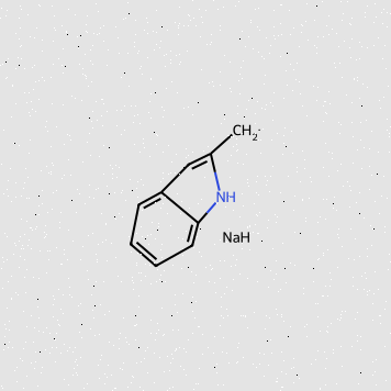 [CH2]c1cc2ccccc2[nH]1.[NaH]